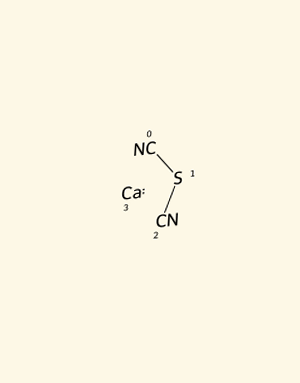 N#CSC#N.[Ca]